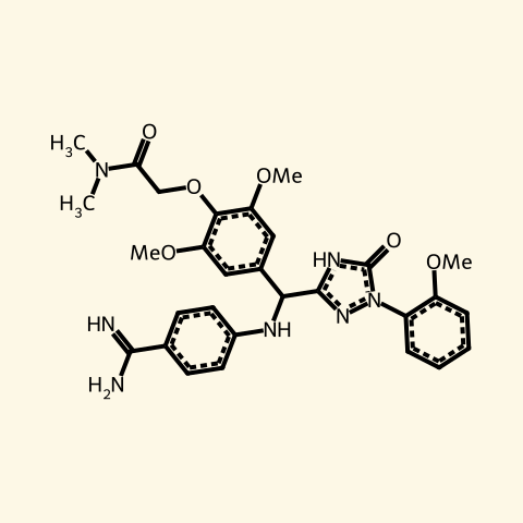 COc1ccccc1-n1nc(C(Nc2ccc(C(=N)N)cc2)c2cc(OC)c(OCC(=O)N(C)C)c(OC)c2)[nH]c1=O